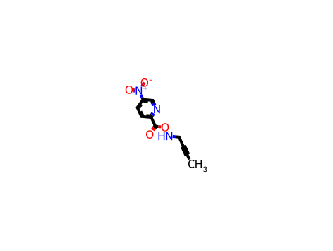 CC#CCNOC(=O)c1ccc([N+](=O)[O-])cn1